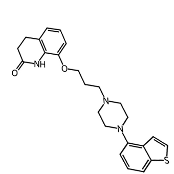 O=C1CCc2cccc(OCCCN3CCN(c4cccc5sccc45)CC3)c2N1